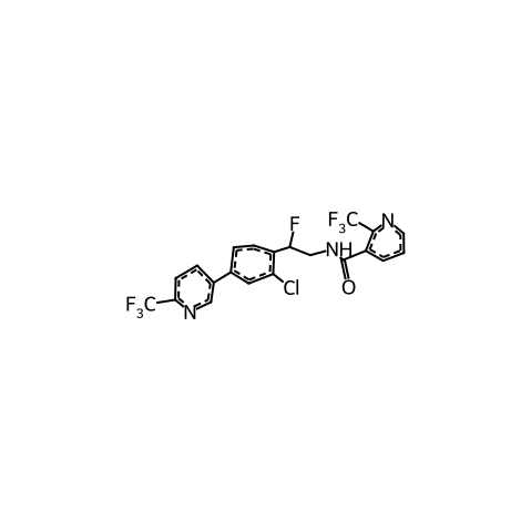 O=C(NCC(F)c1ccc(-c2ccc(C(F)(F)F)nc2)cc1Cl)c1cccnc1C(F)(F)F